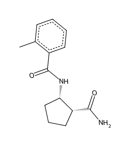 Cc1ccccc1C(=O)N[C@H]1CCC[C@H]1C(N)=O